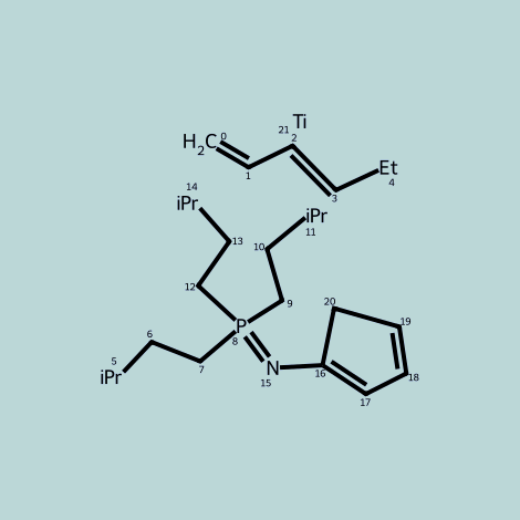 C=CC=CCC.CC(C)CCP(CCC(C)C)(CCC(C)C)=NC1=CC=CC1.[Ti]